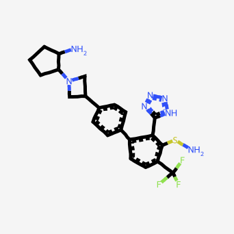 NSc1c(C(F)(F)F)ccc(-c2ccc(C3CN(C4CCCC4N)C3)cc2)c1-c1nnn[nH]1